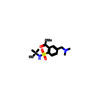 COC(=O)c1cc(CN(C)C)ccc1S(=O)(=O)N[Si](C)(C)C(C)(C)C